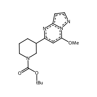 COc1cc(C2CCCN(C(=O)OC(C)(C)C)C2)nc2ccnn12